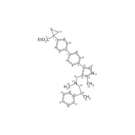 CCOC(=O)C1(c2ccc(-c3ccc(-c4onc(C)c4CN(C)CC(C)c4ccccc4)cc3)cc2)CC1